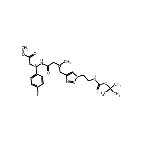 COC(=O)C[C@@H](NC(=O)CN(C)Cc1cn(CCNC(=O)OC(C)(C)C)nn1)c1ccc(F)cc1